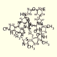 Cc1ncsc1-c1ccc([C@H](C)NC(=O)[C@@H]2C[C@@H](C)CN2C(=O)[C@@H](C(C)C)n2cc(-c3cc(F)cc(O[C@H]4C[C@@H](NC(=O)C[C@@H]5N=C(c6ccc(Cl)cc6)c6c(sc(C)c6C)-n6c(C)nnc65)C4)c3)cn2)cc1